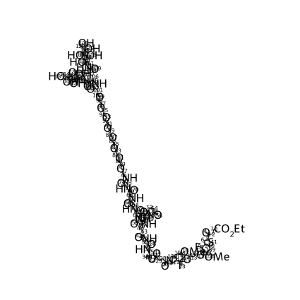 CCOC(=O)CCC(=O)c1cc2c(F)c(OCCCOc3c(OC)cc4c(c3F)CN(C(=O)CCC(=O)O[C@@H](C)CNC(=O)CNC(=O)CC[C@H](NC(=O)CN3C(=O)C=CC3=O)C(=O)NCC(=O)NCC(=O)NCC(=O)NCC(=O)NCCOCCOCCOCCOCCOCCOCCOCCOCCC(=O)N[C@@H](CCC(=O)NC[C@H](O)[C@@H](O)[C@H](O)[C@H](O)CO)C(=O)NC[C@H](O)[C@@H](O)[C@H](O)[C@H](O)CO)C4)c(OC)cc2s1